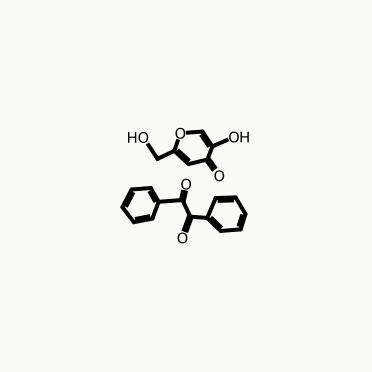 O=C(C(=O)c1ccccc1)c1ccccc1.O=c1cc(CO)occ1O